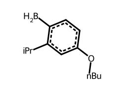 Bc1ccc(OCCCC)cc1C(C)C